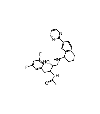 CC(=O)NC(Cc1cc(F)cc(F)c1)C(O)CNC1CCCc2ccc(-c3ncccn3)cc21